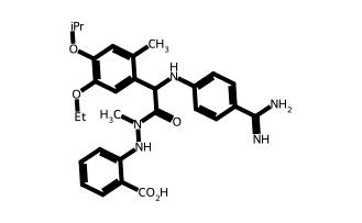 CCOc1cc(C(Nc2ccc(C(=N)N)cc2)C(=O)N(C)Nc2ccccc2C(=O)O)c(C)cc1OC(C)C